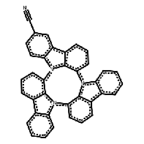 N#Cc1ccc2c(c1)c1cccc3c1n2c1cccc2c4ccccc4n(c4cccc5c6ccccc6n3c54)c21